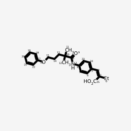 CCC(=Cc1ccc(NC(=O)C(C)(C)CCCOc2ccccc2)cc1)C(=O)O